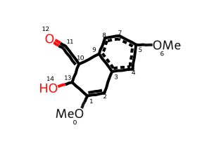 COC1=Cc2cc(OC)ccc2C(=C=O)C1O